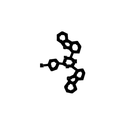 Brc1ccc(-c2nc(-c3cccc4c3oc3ccccc34)nc(-c3cccc4c3oc3ccccc34)n2)cc1